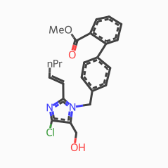 CCCC=Cc1nc(Cl)c(CO)n1Cc1ccc(-c2ccccc2C(=O)OC)cc1